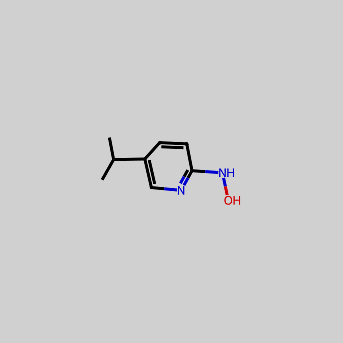 CC(C)c1ccc(NO)nc1